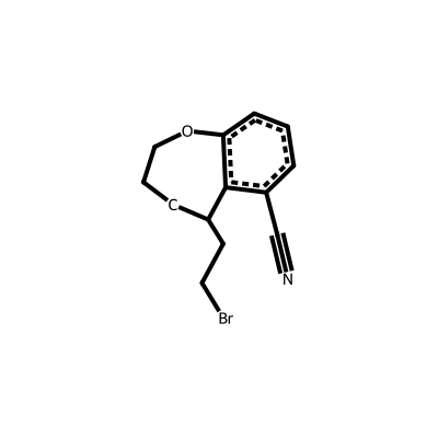 N#Cc1cccc2c1C(CCBr)CCCO2